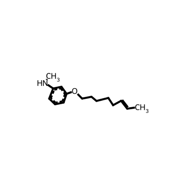 CC=CCCCCCOc1cccc(NC)c1